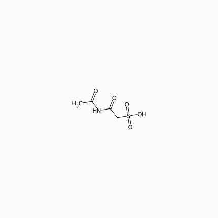 CC(=O)NC(=O)CS(=O)(=O)O